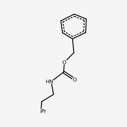 CC(C)CCNC(=O)OCc1ccccc1